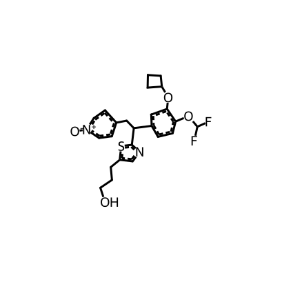 [O-][n+]1ccc(CC(c2ccc(OC(F)F)c(OC3CCC3)c2)c2ncc(CCCO)s2)cc1